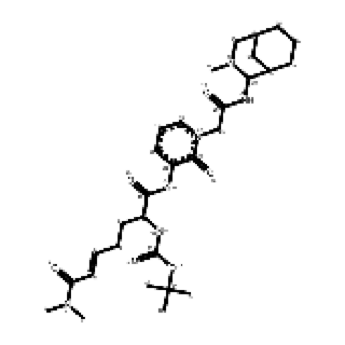 CN(C)C(=O)/C=C/CCC(NC(=O)OC(C)(C)C)C(=O)Nc1cccn(CC(=O)NC2C3CCCC(C3)CN2C)c1=O